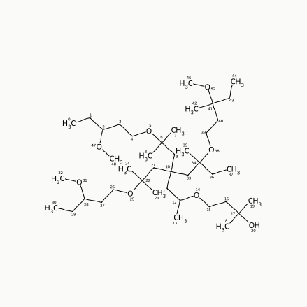 CCC(CCOC(C)(C)CC(CC(C)OCCC(C)(C)O)(CC(C)(C)OCCC(CC)OC)CC(C)(CC)OCCC(C)(CC)OC)OC